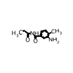 CCC(=O)NC(=O)c1ccc(C)c(N)c1